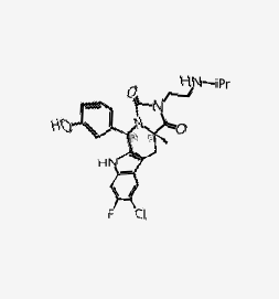 CC(C)NCCN1C(=O)N2[C@H](c3cccc(O)c3)c3[nH]c4cc(F)c(Cl)cc4c3C[C@@]2(C)C1=O